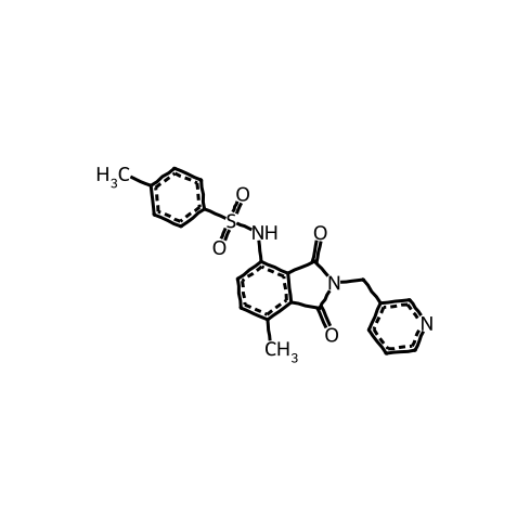 Cc1ccc(S(=O)(=O)Nc2ccc(C)c3c2C(=O)N(Cc2cccnc2)C3=O)cc1